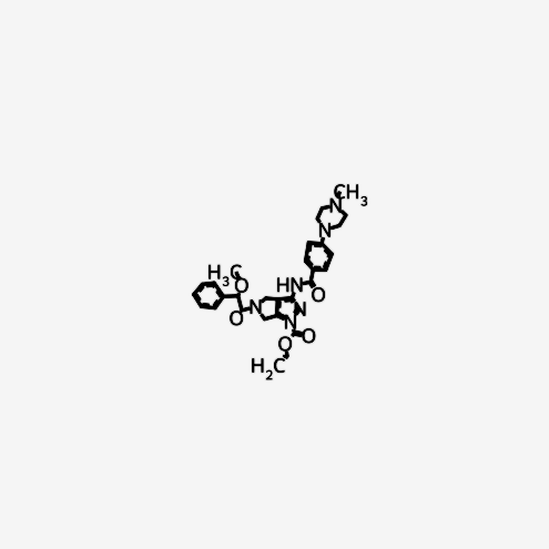 C=COC(=O)n1nc(NC(=O)c2ccc(N3CCN(C)CC3)cc2)c2c1CN(C(=O)C(OC)c1ccccc1)C2